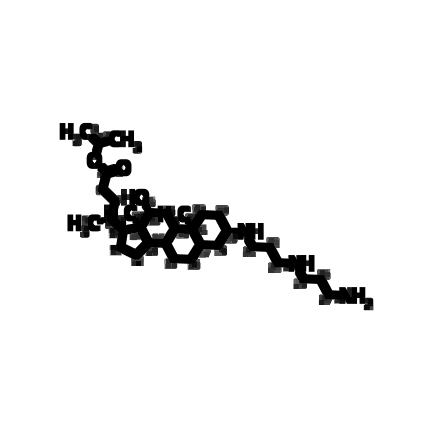 CC(C)OC(=O)CC[C@@H](C)C1CCC2C3CCC4C[C@@H](NCCCNCCCN)CC[C@]4(C)C3C[C@H](O)[C@@]21C